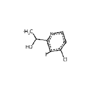 [CH2]C(O)c1nccc(Cl)c1I